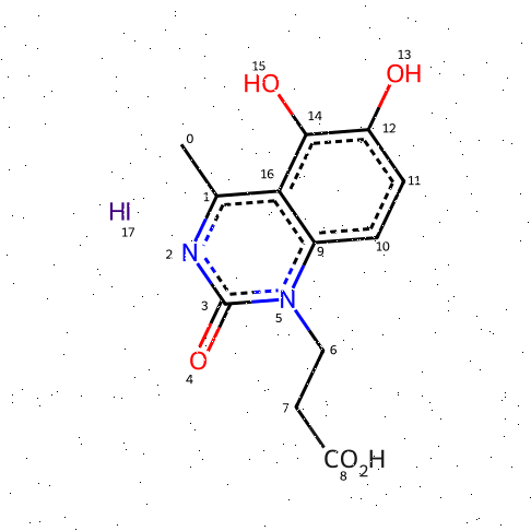 Cc1nc(=O)n(CCC(=O)O)c2ccc(O)c(O)c12.I